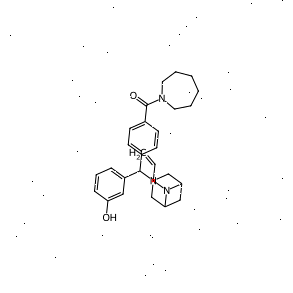 C=CCN1C2CC1CN(C(c1ccc(C(=O)N3CCCCCC3)cc1)c1cccc(O)c1)C2